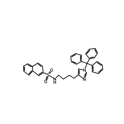 O=S(=O)(NCCCCc1cn(C(c2ccccc2)(c2ccccc2)c2ccccc2)cn1)c1ccc2ccccc2c1